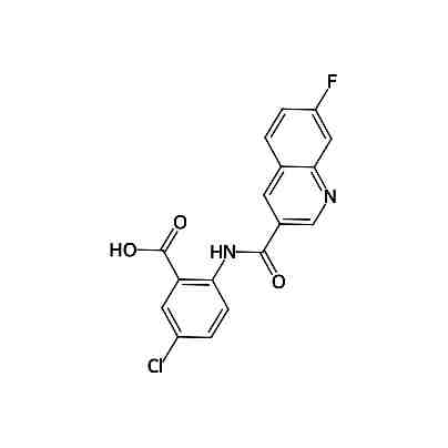 O=C(Nc1ccc(Cl)cc1C(=O)O)c1cnc2cc(F)ccc2c1